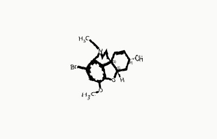 COc1cc(Br)c2c3c1O[C@H]1C[C@@H](O)C=C[C@@]31CCCN(C)C2